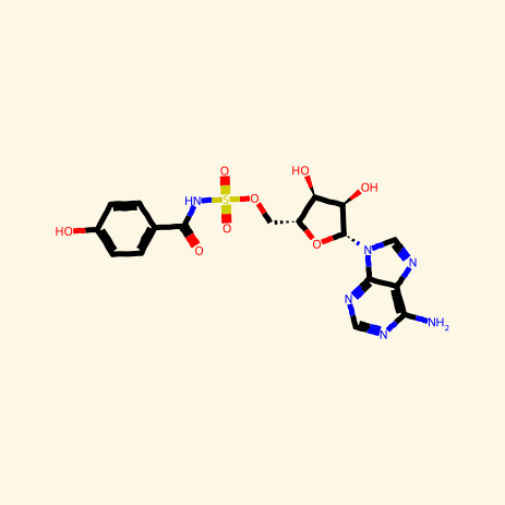 Nc1ncnc2c1ncn2[C@@H]1O[C@H](COS(=O)(=O)NC(=O)c2ccc(O)cc2)[C@@H](O)[C@H]1O